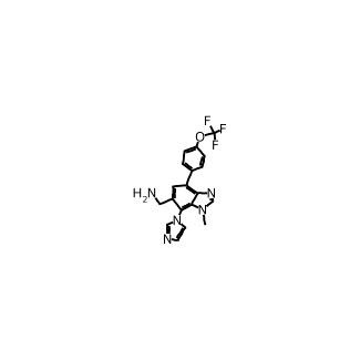 Cn1cnc2c(-c3ccc(OC(F)(F)F)cc3)cc(CN)c(-n3ccnc3)c21